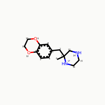 CC1(Cc2ccc3c(c2)OCCO3)CNCCN1